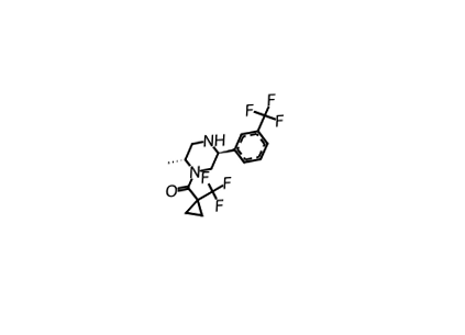 C[C@@H]1CN[C@@H](c2cccc(C(F)(F)F)c2)CN1C(=O)C1(C(F)(F)F)CC1